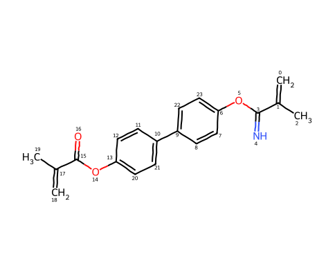 C=C(C)C(=N)Oc1ccc(-c2ccc(OC(=O)C(=C)C)cc2)cc1